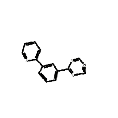 c1ccc(-c2cccc(-c3ncncn3)c2)nc1